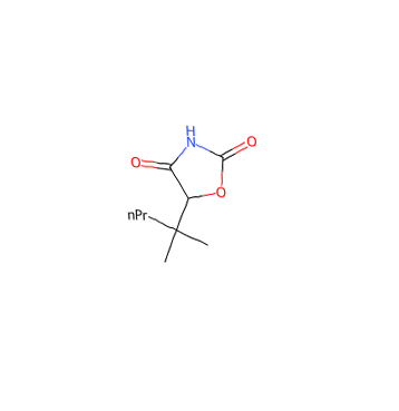 CCCC(C)(C)C1OC(=O)NC1=O